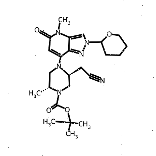 C[C@@H]1CN(c2cc(=O)n(C)c3cn(C4CCCCO4)nc23)[C@@H](CC#N)CN1C(=O)OC(C)(C)C